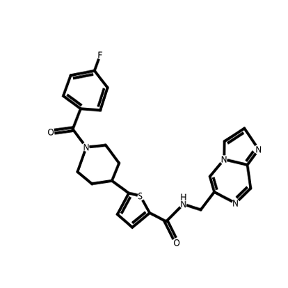 O=C(NCc1cn2ccnc2cn1)c1ccc(C2CCN(C(=O)c3ccc(F)cc3)CC2)s1